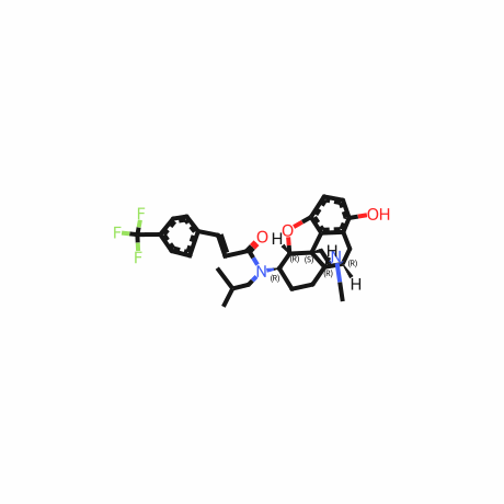 CC(C)CN(C(=O)C=Cc1ccc(C(F)(F)F)cc1)[C@@H]1CC[C@H]2[C@H]3Cc4c(O)ccc5c4[C@@]2(CCN3C)[C@H]1O5